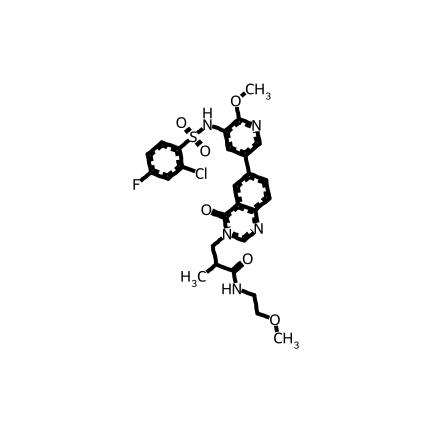 COCCNC(=O)C(C)Cn1cnc2ccc(-c3cnc(OC)c(NS(=O)(=O)c4ccc(F)cc4Cl)c3)cc2c1=O